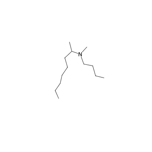 CCCCCCC(C)N(C)CCCC